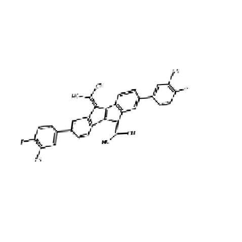 N#CC(C#N)=C1C2=C(C(=C(C#N)C#N)c3cc(-c4ccc(F)c(C#N)c4)ccc32)c2ccc(-c3ccc(F)c(C#N)c3)cc21